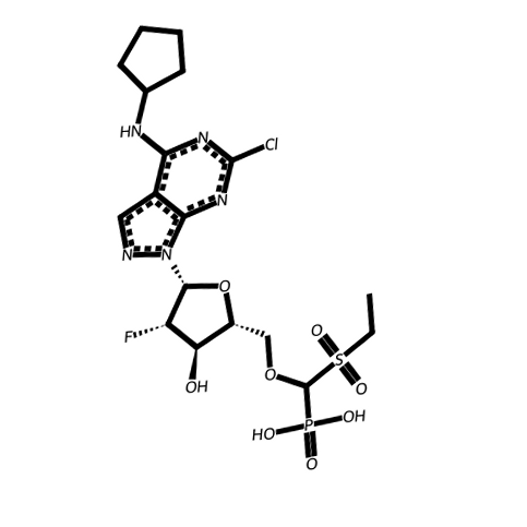 CCS(=O)(=O)C(OC[C@H]1O[C@@H](n2ncc3c(NC4CCCC4)nc(Cl)nc32)[C@@H](F)[C@@H]1O)P(=O)(O)O